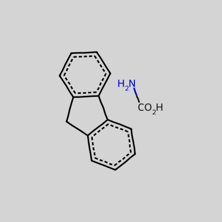 NC(=O)O.c1ccc2c(c1)Cc1ccccc1-2